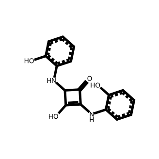 O=C1C(Nc2ccccc2O)=C(O)C1Nc1ccccc1O